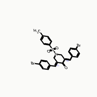 Cc1ccc(S(=O)(=O)N2C/C(=C\c3ccc(Br)cc3)C(=O)/C(=C/c3ccc(Br)cc3)C2)cc1